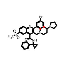 CS(=O)(=O)c1ccc2nc(-c3cccc(Br)c3)c(CN3CCC(N4CCCC4)CC3)c(C(=O)NC3(c4ccccc4)CC3)c2c1